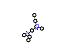 c1ccc(-c2ccc(-c3cc(-c4ccc(-c5nc6ccccc6c6c5ccc5ccccc56)cc4)nc(-c4ccccc4)n3)cc2)cc1